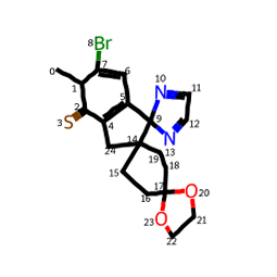 CC1C(=S)C2=C(C=C1Br)C1(N=CC=N1)C1(CCC3(CC1)OCCO3)C2